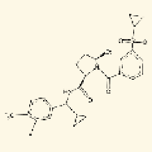 CC[C@@H]1CC[C@H](C(=O)NC(c2ccc(C(F)(F)F)c(F)c2)C2CC2)N1C(=O)c1ccnc(S(=O)(=O)C2CC2)c1